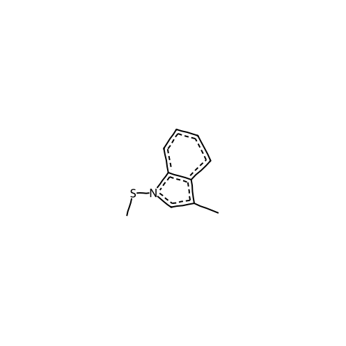 CSn1cc(C)c2ccccc21